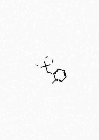 CCOC(Cc1ccccc1F)(OCC)OCC